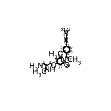 CN/C(=C\N)COc1cc(C)n([C@H](C)c2ccc(C#CC3CC3)cc2)c(=O)c1